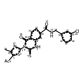 CC(=O)c1sc(-n2c(=S)[nH]c3cc(C(=O)NCc4cccc(Cl)c4)ccc3c2=O)nc1C